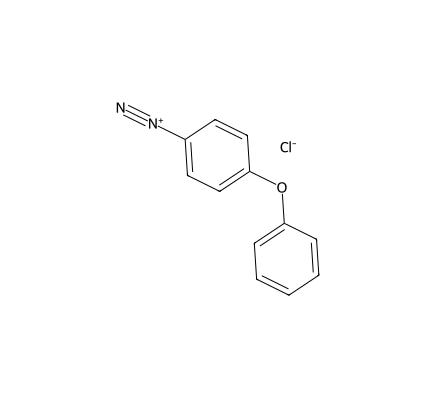 N#[N+]c1ccc(Oc2ccccc2)cc1.[Cl-]